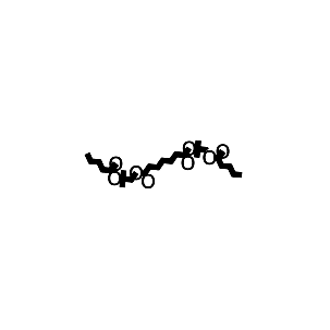 CCCCC(=O)OCC(C)(C)OC(=O)CCCCCC(=O)OCC(C)(C)OC(=O)CCCC